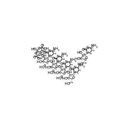 Nc1ccn([C@@H]2O[C@H](CO)[C@@H](O)[C@H]2O)c(=O)n1.Nc1ccn([C@@H]2O[C@H](CO)[C@@H](O)[C@H]2O)c(=O)n1.Nc1ccn([C@@H]2O[C@H](CO)[C@@H](O)[C@H]2O)c(=O)n1.Nc1ccn([C@@H]2O[C@H](CO)[C@@H](O)[C@H]2O)c(=O)n1.Nc1ccn([C@@H]2O[C@H](CO)[C@@H](O)[C@H]2O)c(=O)n1.O=P(O)(O)OP(=O)(O)OP(=O)(O)O